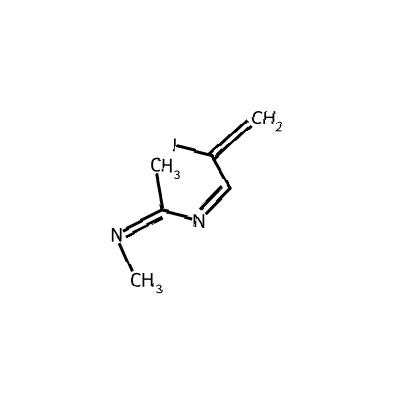 C=C(I)/C=N\C(C)=N/C